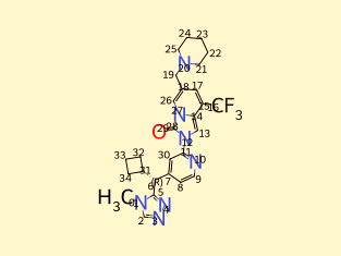 Cn1cnnc1[C@@H](c1ccnc(-n2cc3c(C(F)(F)F)cc(CN4CCCCC4)cn3c2=O)c1)C1CCC1